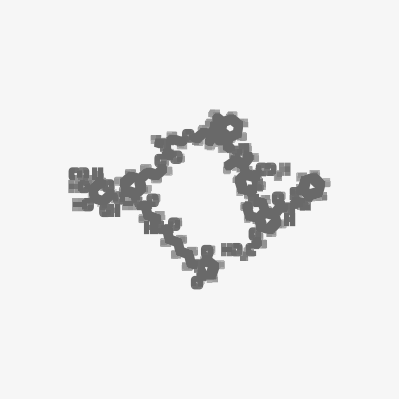 Cc1c(-c2ccc(N3CCc4c(OCC(=O)O)ccc(C(=O)Nc5nc6ccccc6s5)c4C3)nc2C(=O)O)cnn1CC12CCCC(C)(CC(C)(CCOCCN(C)C(=O)OC/C=C/c3ccc(O[C@@H]4O[C@H](C(=O)O)[C@@H](O)[C@H](O)[C@H]4O)c(NC(=O)CCNC(=O)CCCCCN4C(=O)C=CC4=O)c3)C1)C2